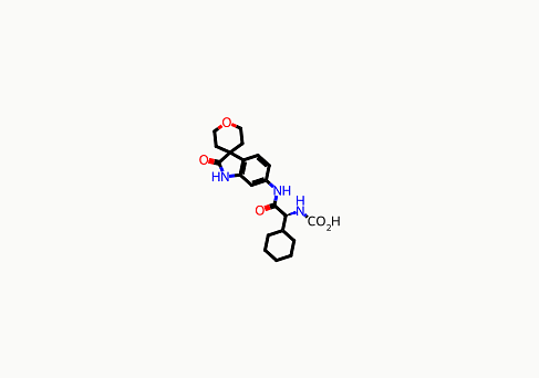 O=C(O)N[C@H](C(=O)Nc1ccc2c(c1)NC(=O)C21CCOCC1)C1CCCCC1